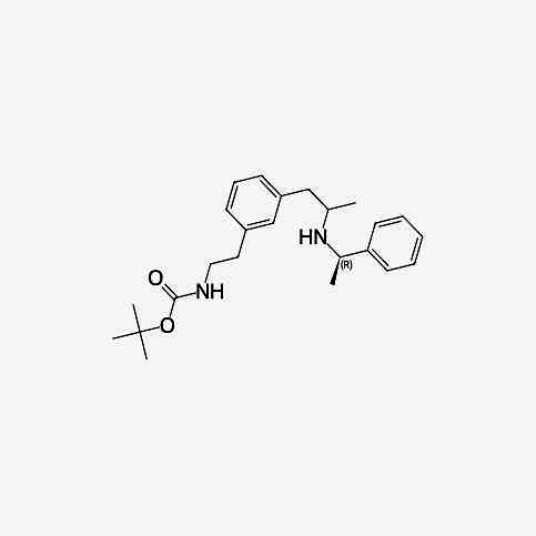 CC(Cc1cccc(CCNC(=O)OC(C)(C)C)c1)N[C@H](C)c1ccccc1